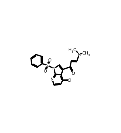 CN(C)C=CC(=O)c1cn(S(=O)(=O)c2ccccc2)c2nccc(Cl)c12